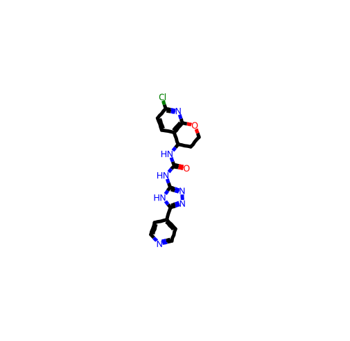 O=C(Nc1nnc(-c2ccncc2)[nH]1)NC1CCOc2nc(Cl)ccc21